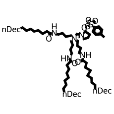 CCCCCCCCCCCCCCCCCC(=O)NCCCC[N+](CCCCNC(=O)CCCCCCCCCCCCCCCCC)(CCCCNC(=O)CCCCCCCCCCCCCCCCC)CN1CCCC1=O.Cc1ccc(S(=O)(=O)[O-])cc1